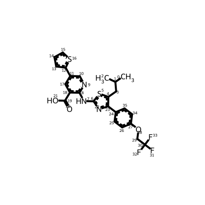 CC(C)Cc1sc(Nc2ncc(-c3cccs3)cc2C(=O)O)nc1-c1ccc(OCC(F)(F)F)cc1